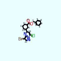 O=C(OCc1ccccc1)C1CCCC(c2cc(Cl)n3ncc(Br)c3n2)C1